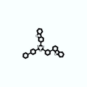 c1ccc(-c2ccc(-c3nc(-c4cccc(-c5cccc6c5oc5ccccc56)c4)nc(-c4ccc5c(c4)oc4ccccc45)n3)cc2)cc1